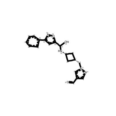 O=Cc1cnn(C[C@H]2C[C@@H](NC(O)c3cc(-c4ccccc4)no3)C2)c1